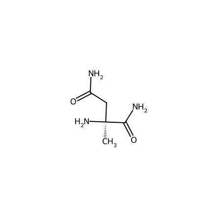 C[C@](N)(CC(N)=O)C(N)=O